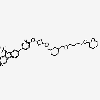 Cn1c2ccncc2c2ccc(-c3ccc(O[C@H]4C[C@H](OCC5CCCC(COCCCCOC6CCCCO6)C5)C4)nc3)cc21